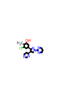 Cc1c(O)cc(-c2nn(-c3ncccn3)cc2-c2ccncn2)cc1Cl